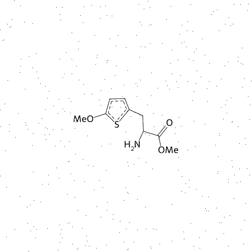 COC(=O)C(N)Cc1ccc(OC)s1